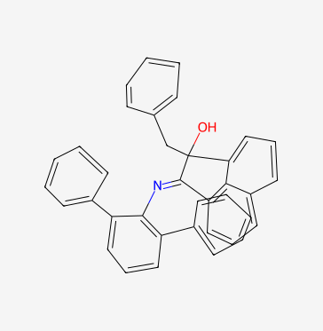 OC1(Cc2ccccc2)/C(=N/c2c(-c3ccccc3)cccc2-c2ccccc2)c2cccc3cccc1c23